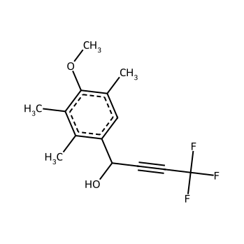 COc1c(C)cc(C(O)C#CC(F)(F)F)c(C)c1C